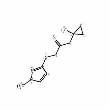 Cn1ccc(OCC(=O)CC2(C(F)(F)F)CC2)n1